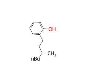 CCCCC(C)CCc1ccccc1O